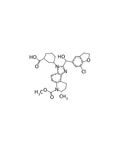 COC(=O)N1c2ccc3c(nc(C(O)c4cc(Cl)c5c(c4)CCO5)n3C3CCCC(C(=O)O)C3)c2CC[C@@H]1C